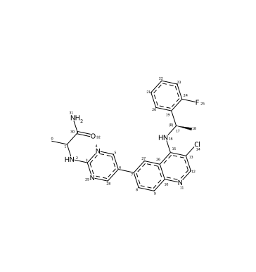 CC(Nc1ncc(-c2ccc3ncc(Cl)c(N[C@H](C)c4ccccc4F)c3c2)cn1)C(N)=O